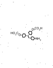 Nc1ccc(C=C(c2ccc(OCC(=O)O)cc2)c2ccc(OCC(=O)O)cc2)cc1